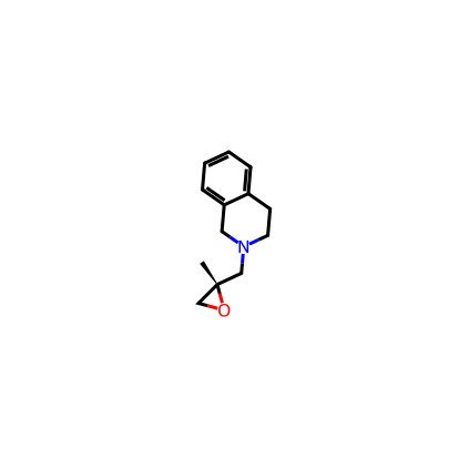 C[C@]1(CN2CCc3ccccc3C2)CO1